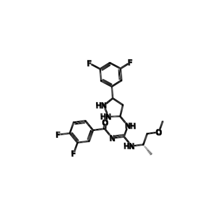 COC[C@H](C)N/C(=N/C(=O)c1ccc(F)c(F)c1)NC1CC(c2cc(F)cc(F)c2)NN1